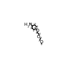 COCCOCCON1CCC(N)CC1